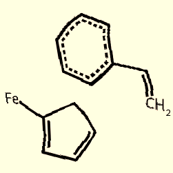 C=Cc1ccccc1.[Fe][C]1=CC=CC1